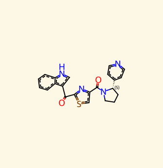 O=C(c1nc(C(=O)N2CCC[C@H]2c2ccncc2)cs1)c1c[nH]c2ccccc12